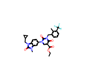 CCOC(=O)c1cn(-c2ccc3c(c2)n(C)c(=O)n3CC2CC2)c(=O)n(Cc2cccc(C(F)(F)F)c2C)c1=O